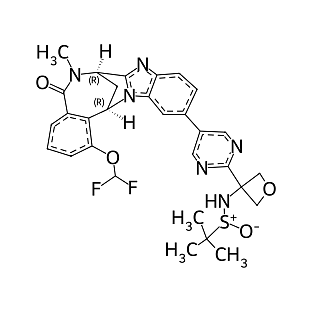 CN1C(=O)c2cccc(OC(F)F)c2[C@H]2C[C@@H]1c1nc3ccc(-c4cnc(C5(N[S+]([O-])C(C)(C)C)COC5)nc4)cc3n12